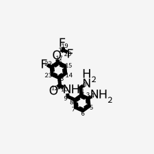 NCc1c(N)cccc1CNC(=O)c1ccc(OC(F)F)c(F)c1